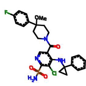 COC1(c2ccc(F)cc2)CCN(C(=O)c2cnc(S(N)(=O)=O)c(Cl)c2NC2(c3ccccc3)CC2)CC1